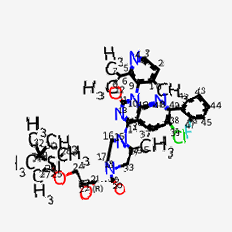 Cc1ccnc(C(C)C)c1-n1c(=O)nc(N2CCN(C(=O)[C@@H]3O[C@H]3CO[Si](C)(C)C(C)(C)C)C[C@@H]2C)c2cc(Cl)c(-c3ccccc3F)nc21